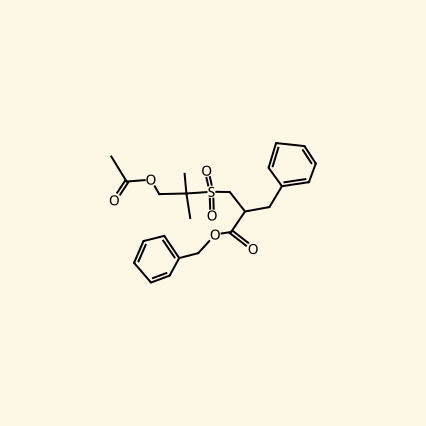 CC(=O)OCC(C)(C)S(=O)(=O)CC(Cc1ccccc1)C(=O)OCc1ccccc1